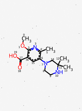 COc1nc(C)c(N2CCNC(C)(C)C2)cc1C(=O)O